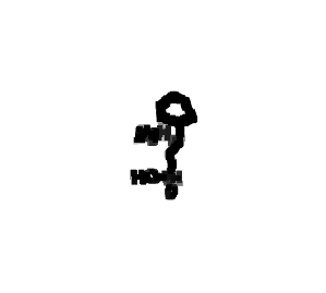 O=[PH](O)CCCc1ccccc1.[MgH2]